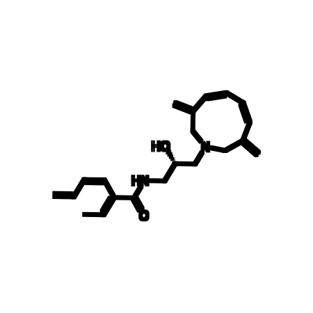 C=C/C=C\C(=C/C)C(=O)NC[C@H](O)CN1CC(=C)/C=C\C=C/C(=C)C1